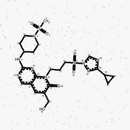 CS(=O)(=O)N1CCC(Nc2ncc3cc(CO)c(=O)n(CCCS(=O)(=O)n4cnc(C5CC5)n4)c3n2)CC1